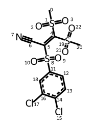 CS(=O)(=O)C(=C(C#N)S(=O)(=O)c1ccc(Cl)c(Cl)c1)S(C)(=O)=O